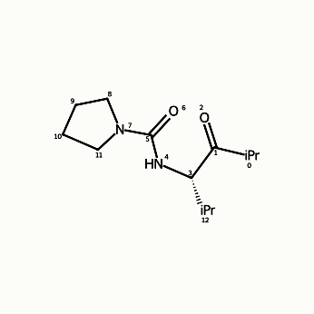 CC(C)C(=O)[C@@H](NC(=O)N1CCCC1)C(C)C